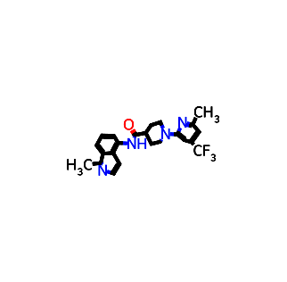 Cc1cc(C(F)(F)F)cc(N2CCC(C(=O)Nc3cccc4c(C)nccc34)CC2)n1